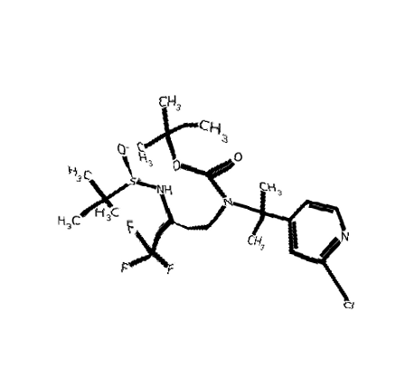 CC(C)(C)OC(=O)N(C[C@H](N[S@+]([O-])C(C)(C)C)C(F)(F)F)C(C)(C)c1ccnc(Cl)c1